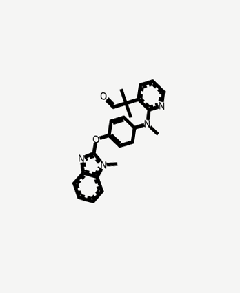 CN(c1ncccc1C(C)(C)C=O)C1C=CC(Oc2nc3ccccc3n2C)=CC1